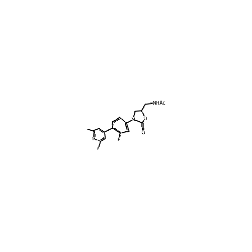 CC(=O)NCC1CN(c2ccc(-c3cc(C)nc(C)c3)c(F)c2)C(=O)O1